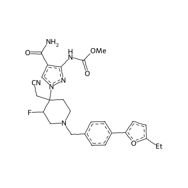 CCc1ccc(-c2ccc(CN3CCC(CC#N)(n4cc(C(N)=O)c(NC(=O)OC)n4)C(F)C3)cc2)o1